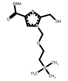 COC(=O)c1cn(COCC[Si](C)(C)C)c(CO)n1